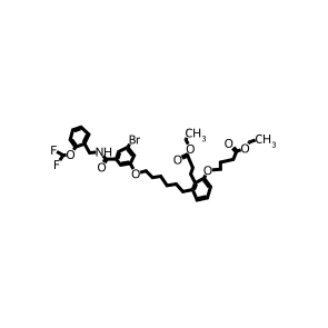 CCOC(=O)CCCOc1cccc(CCCCCCOc2cc(Br)cc(C(=O)NCc3ccccc3OC(F)F)c2)c1CCC(=O)OCC